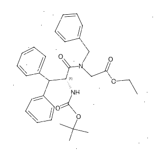 CCOC(=O)CN(Cc1ccccc1)C(=O)[C@H](NC(=O)OC(C)(C)C)C(c1ccccc1)c1ccccc1